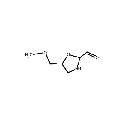 COC[C@@H]1CNC(C=O)O1